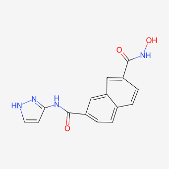 O=C(NO)c1ccc2ccc(C(=O)Nc3cc[nH]n3)cc2c1